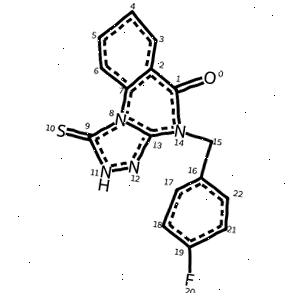 O=c1c2ccccc2n2c(=S)[nH]nc2n1Cc1ccc(F)cc1